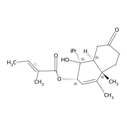 C/C=C(\C)C(=O)O[C@H]1C=C(C)[C@@]2(C)CCC(=O)C[C@@H]2[C@@]1(O)C(C)C